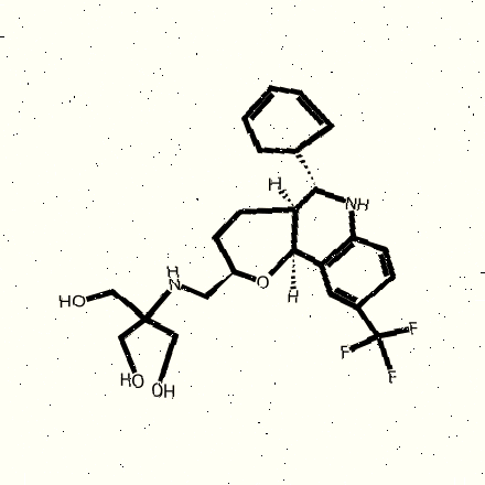 OCC(CO)(CO)NC[C@H]1CC[C@@H]2[C@H](O1)c1cc(C(F)(F)F)ccc1N[C@H]2C1C=CC=CC1